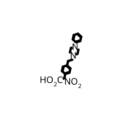 O=C(O)C(c1ccc(CCN2CCN(c3ccccc3)CC2)cc1)[N+](=O)[O-]